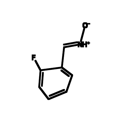 [O-][NH+]=Cc1ccccc1F